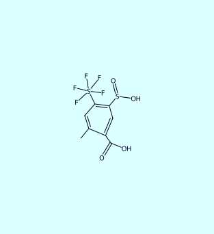 Cc1cc(S(F)(F)(F)(F)F)c(S(=O)O)cc1C(=O)O